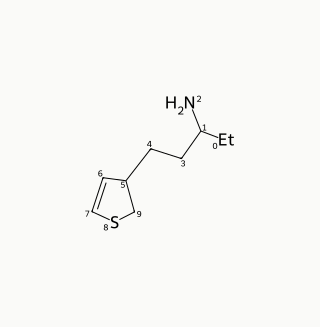 CCC(N)CCC1C=CSC1